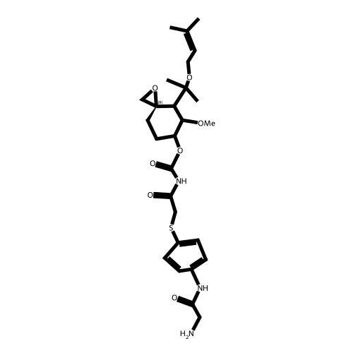 COC1C(OC(=O)NC(=O)CSc2ccc(NC(=O)CN)cc2)CC[C@]2(CO2)C1C(C)(C)OCC=C(C)C